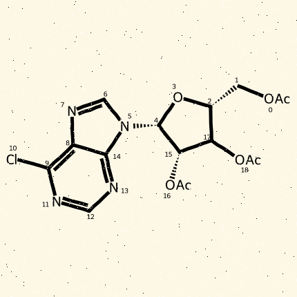 CC(=O)OC[C@H]1O[C@@H](n2cnc3c(Cl)ncnc32)[C@@H](OC(C)=O)C1OC(C)=O